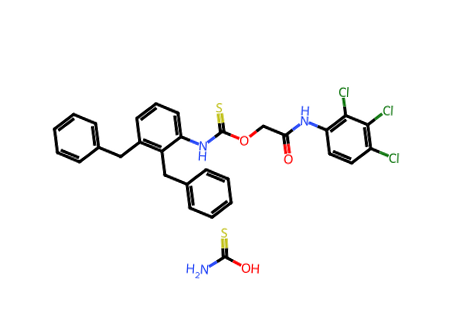 NC(O)=S.O=C(COC(=S)Nc1cccc(Cc2ccccc2)c1Cc1ccccc1)Nc1ccc(Cl)c(Cl)c1Cl